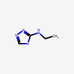 CCNC1=NN=C[N]1